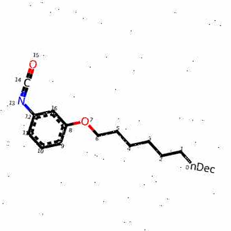 CCCCCCCCCCCCCCCCOc1cccc(N=C=O)c1